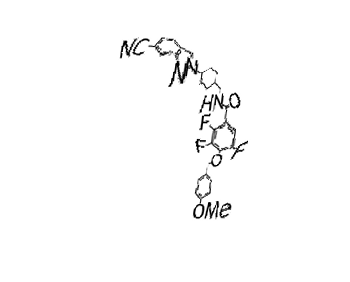 COc1ccc(COc2c(F)cc(C(=O)NCC3CCC(n4cc5ccc(C#N)cc5n4)CC3)c(F)c2F)cc1